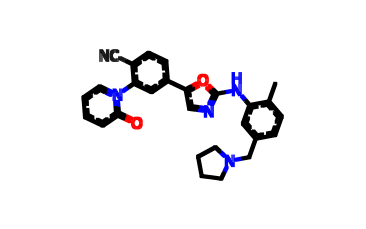 Cc1ccc(CN2CCCC2)cc1Nc1ncc(-c2ccc(C#N)c(-n3ccccc3=O)c2)o1